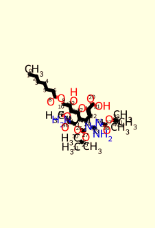 CCCCCCCC(=O)OC[C@H](O)[C@@H](OC)[C@@H]1OC(C(=O)O)=C[C@@H](N(C(=O)OC(C)(C)C)C(N)=NC(=O)OC(C)(C)C)[C@H]1CC(N)=O